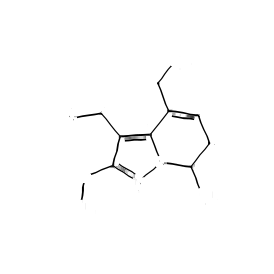 CCC1=CCC(C)n2nc(OC)c(CN)c21